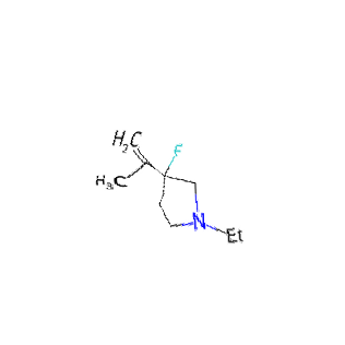 C=C(C)C1(F)CCN(CC)C1